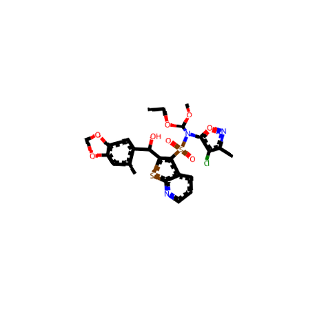 CCOC(OC)N(c1onc(C)c1Cl)S(=O)(=O)c1c(C(O)c2cc3c(cc2C)OCO3)sc2ncccc12